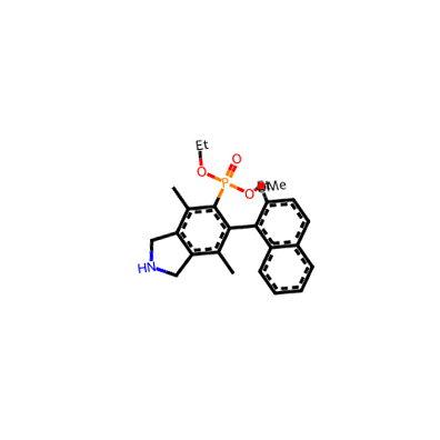 CCOP(=O)(OCC)c1c(C)c2c(c(C)c1-c1c(OC)ccc3ccccc13)CNC2